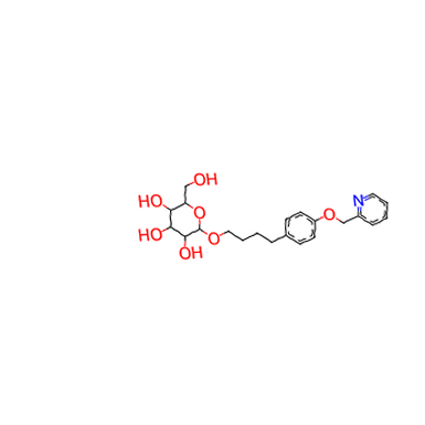 OCC1OC(OCCCCc2ccc(OCc3ccccn3)cc2)C(O)C(O)C1O